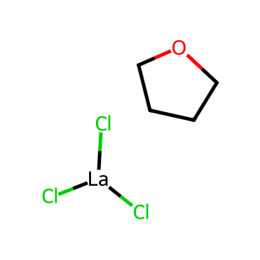 C1CCOC1.[Cl][La]([Cl])[Cl]